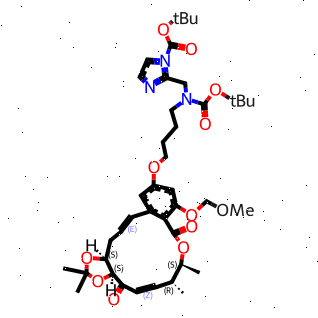 COCOc1cc(OCCCCN(Cc2nccn2C(=O)OC(C)(C)C)C(=O)OC(C)(C)C)cc2c1C(=O)O[C@@H](C)[C@H](C)/C=C\C(=O)[C@H]1OC(C)(C)O[C@H]1C/C=C/2